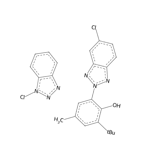 Cc1cc(-n2nc3ccc(Cl)cc3n2)c(O)c(C(C)(C)C)c1.Cln1nnc2ccccc21